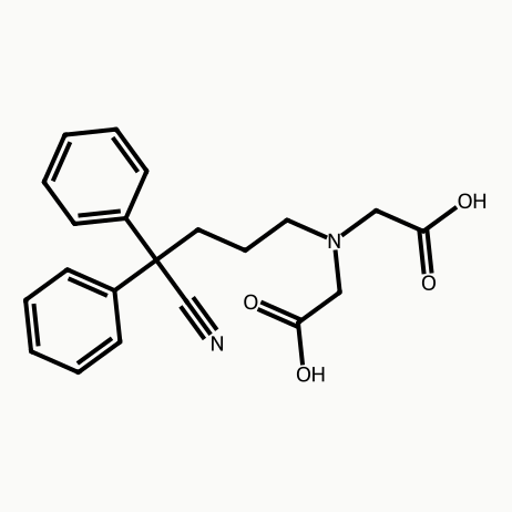 N#CC(CCCN(CC(=O)O)CC(=O)O)(c1ccccc1)c1ccccc1